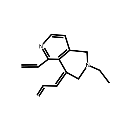 C=C/C=C1/CN(CC)Cc2ccnc(C=C)c21